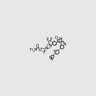 Cn1cc(-c2ccc(-c3ccc4ncc5c(c4c3)n(-c3ccc(N4CCN(C(COC(N)=O)C(C)(C)C)CC4)c(C(F)(F)F)c3)c(=O)n5C)cn2)cn1